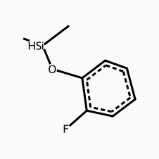 C[SiH](C)Oc1ccccc1F